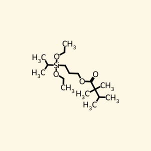 CCO[Si](CCCOC(=O)C(C)(C)C(C)C)(OCC)C(C)C